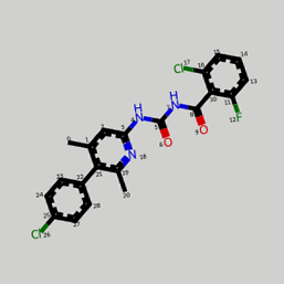 Cc1cc(NC(=O)NC(=O)c2c(F)cccc2Cl)nc(C)c1-c1ccc(Cl)cc1